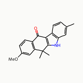 COc1ccc2c(c1)C(C)(C)c1[nH]c3cc(C)ccc3c1C2=O